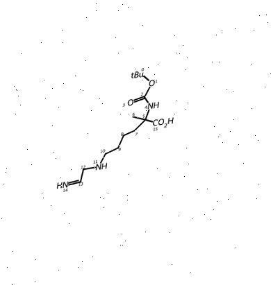 CC(C)(C)OC(=O)NC(C)(CCCCNCC=N)C(=O)O